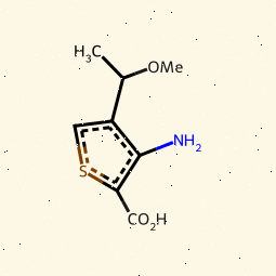 COC(C)c1csc(C(=O)O)c1N